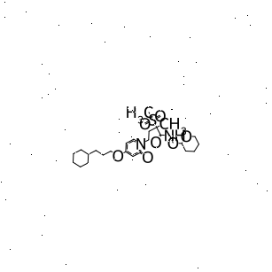 CC(CCn1ccc(OCCCC2CCCCC2)cc1=O)(C(=O)NOC1CCCCO1)S(C)(=O)=O